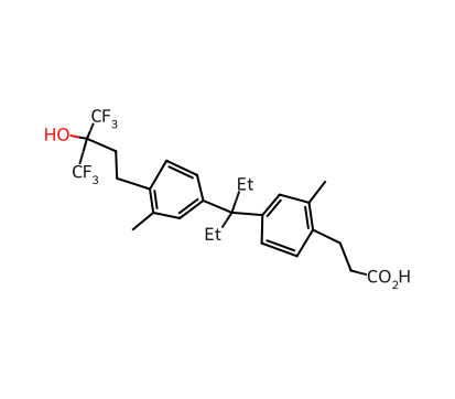 CCC(CC)(c1ccc(CCC(=O)O)c(C)c1)c1ccc(CCC(O)(C(F)(F)F)C(F)(F)F)c(C)c1